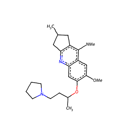 CNc1c2c(nc3cc(OC(C)CCN4CCCC4)c(OC)cc13)CC(C)C2